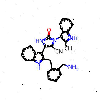 Cc1[nH]c2ccccc2c1-n1c(C#N)c(-c2c(Cc3ccccc3CN)[nH]c3ccccc23)[nH]c1=O